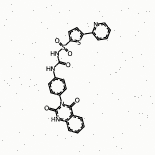 O=C(Nc1ccc(-n2c(=O)[nH]c3ccccc3c2=O)cc1)NS(=O)(=O)c1ccc(-c2ccccn2)s1